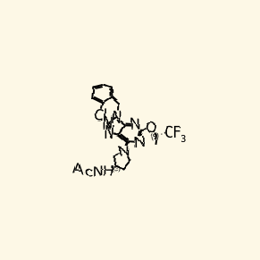 CC(=O)N[C@H]1CCN(c2nc(O[C@@H](C)C(F)(F)F)nc3c2nnn3Cc2ccccc2Cl)C1